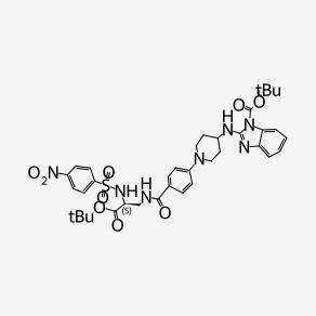 CC(C)(C)OC(=O)[C@H](CNC(=O)c1ccc(N2CCC(Nc3nc4ccccc4n3C(=O)OC(C)(C)C)CC2)cc1)NS(=O)(=O)c1ccc([N+](=O)[O-])cc1